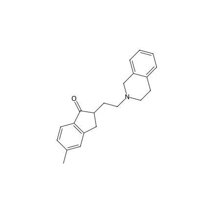 Cc1ccc2c(c1)CC(CCN1CCc3ccccc3C1)C2=O